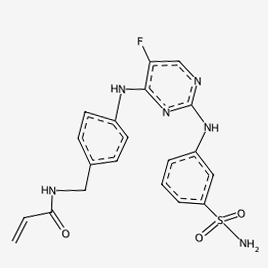 C=CC(=O)NCc1ccc(Nc2nc(Nc3cccc(S(N)(=O)=O)c3)ncc2F)cc1